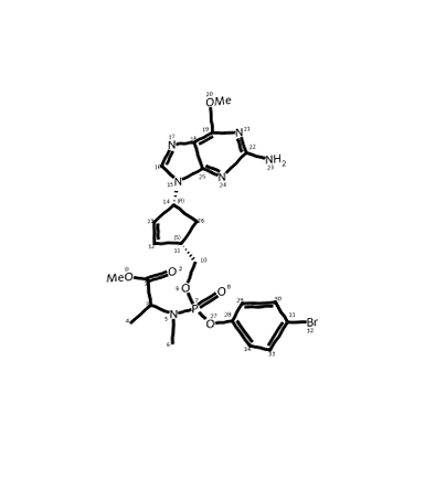 COC(=O)C(C)N(C)P(=O)(OC[C@@H]1C=C[C@H](n2cnc3c(OC)nc(N)nc32)C1)Oc1ccc(Br)cc1